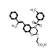 C/C(=C\c1ccc2c(c1)N(S(=O)(=O)c1cccc(C)c1)C[C@H](CCC(=O)O)O2)c1ccccc1